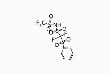 O=S(=O)(NS(=O)(=O)C(F)(F)S(=O)(=O)c1ccccc1)C(F)(F)F